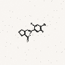 O=c1[nH]c(-c2cc(F)c(Br)cc2F)nc2c1CCC2